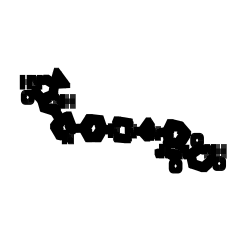 Cn1c(=O)n(C2CCC(=O)NC2=O)c2cccc(N3CC(N4CCN(c5ccc(-c6cc(-c7cc8c([nH]7)C7(CC7)CNC8=O)ccn6)cc5)CC4)C3)c21